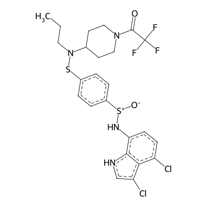 CCCN(Sc1ccc([S+]([O-])Nc2ccc(Cl)c3c(Cl)c[nH]c23)cc1)C1CCN(C(=O)C(F)(F)F)CC1